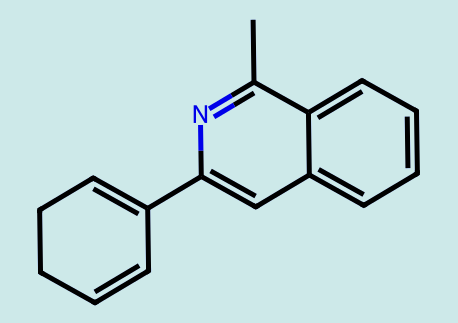 Cc1nc(C2=CCCC=C2)cc2ccccc12